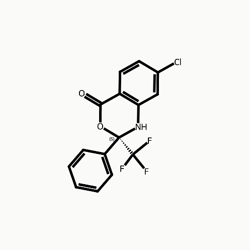 O=C1O[C@@](c2ccccc2)(C(F)(F)F)Nc2cc(Cl)ccc21